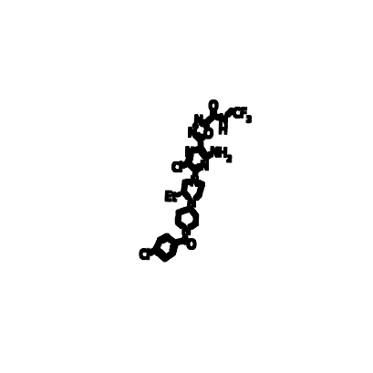 CC[C@H]1CN(c2nc(N)c(-c3nnc(C(=O)NCC(F)(F)F)o3)nc2Cl)CCN1C1CCN(C(=O)c2ccc(Cl)cc2)CC1